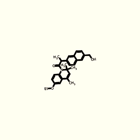 CCOc1ccc2c(c1)C(C)=CC(C)(C)N2C(=O)C(C)c1ccc2cc(CO)ccc2c1